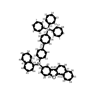 c1ccc([Si](c2ccccc2)(c2ccccc2)c2ccc(-c3ccc(N(c4ccc5oc6c7ccccc7ccc6c5c4)c4cccc5ccccc45)cc3)cc2)cc1